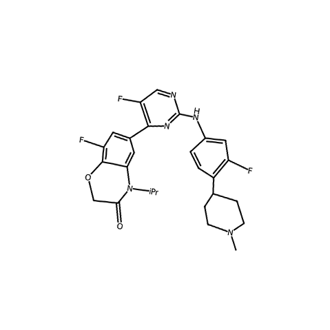 CC(C)N1C(=O)COc2c(F)cc(-c3nc(Nc4ccc(C5CCN(C)CC5)c(F)c4)ncc3F)cc21